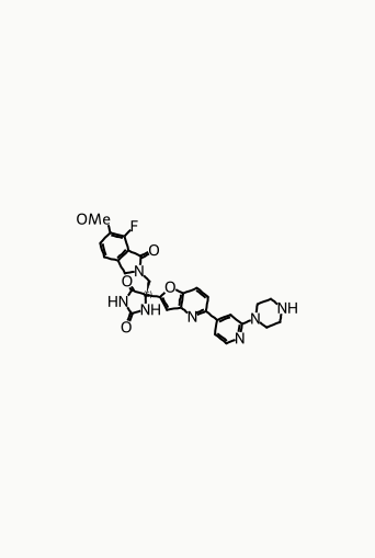 COc1ccc2c(c1F)C(=O)N(C[C@@]1(c3cc4nc(-c5ccnc(N6CCNCC6)c5)ccc4o3)NC(=O)NC1=O)C2